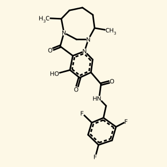 CC1CCCC(C)N2CN1C(=O)c1c(O)c(=O)c(C(=O)NCc3c(F)cc(F)cc3F)cn12